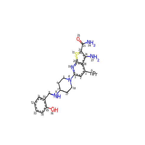 CCCc1cc(N2CCC(NCc3ccccc3O)CC2)nc2sc(C(N)=O)c(N)c12